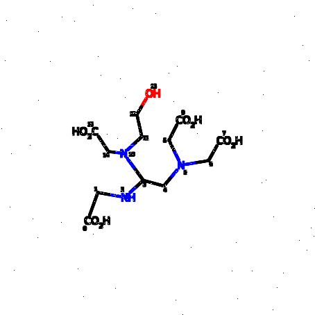 O=C(O)CNC(CN(CC(=O)O)CC(=O)O)N(CCO)CC(=O)O